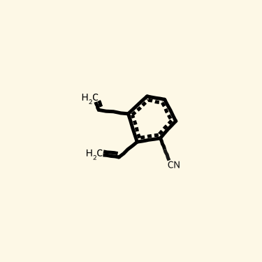 C=Cc1cccc(C#N)c1C=C